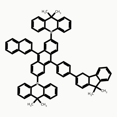 CC1(C)C2=CC=C(c3ccc(-c4c5ccc(N6c7ccccc7C(C)(C)c7ccccc76)cc5c(-c5ccc6ccccc6c5)c5ccc(N6c7ccccc7C(C)(C)c7ccccc76)cc45)cc3)CC2c2ccccc21